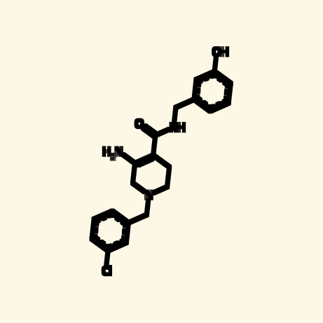 NC1=C(C(=O)NCc2cccc(O)c2)CCN(Cc2cccc(Cl)c2)C1